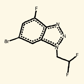 Fc1cc(Br)cc2c1nnn2CC(F)F